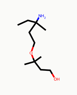 CCC(C)(N)CCOC(C)(C)CCO